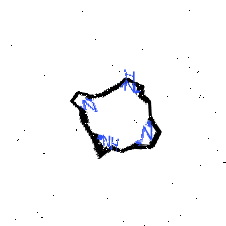 C1=C/C2=C/c3ccc([nH]3)CC3C=CC(=N3)/C=c3/cc/c([nH]3)=C/C1=N2